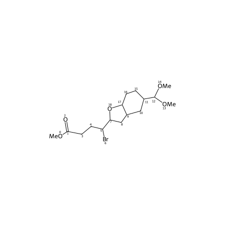 COC(=O)CCC(Br)C1CC2CC(C(OC)OC)CCC2O1